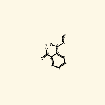 C=CC(F)c1ccccc1C(=O)Cl